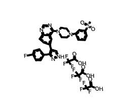 CS(=O)(=O)c1cccc(N2CCN(c3ncnc4ccc(-c5c[nH]nc5-c5ccc(F)cc5)cc34)CC2)c1.O=C(O)C(F)(F)F.O=C(O)C(F)(F)F.O=C(O)C(F)(F)F